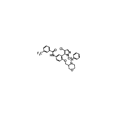 Cn1ncc(Cl)c1-c1cc(NC(=O)c2cccc(C(F)(F)F)c2)ccc1OCC1COCCN1Cc1ccccc1